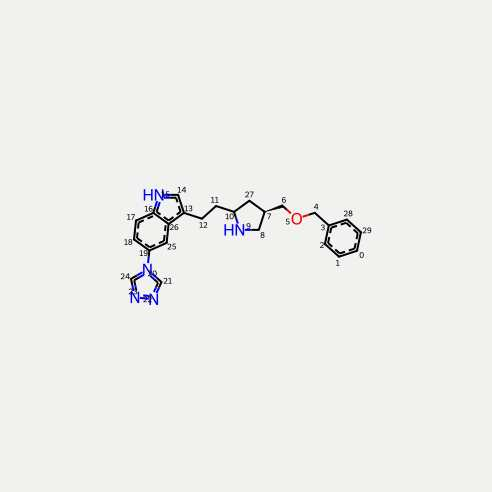 c1ccc(COC[C@H]2CNC(CCc3c[nH]c4ccc(-n5cnnc5)cc34)C2)cc1